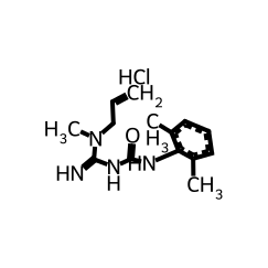 C=CCN(C)C(=N)NC(=O)Nc1c(C)cccc1C.Cl